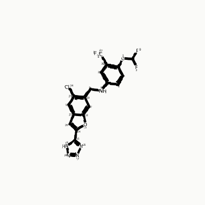 FC(F)Oc1ccc(NCc2cc3oc(-c4nnn[nH]4)cc3cc2Cl)cc1C(F)(F)F